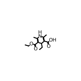 CCOC(=O)C1=C(C)NC(C)=C(C(=O)O)C1CC